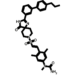 CCCc1ccc(-c2cccc(C3=NC4(CCN(S(=O)(=O)C=Cc5c(C)cc(N(C)C(N)=O)cc5C)CC4)C(=O)N3)c2)cc1